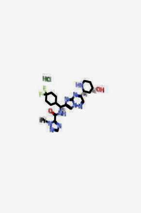 CC(C)n1ncnc1C(=O)N[C@H](c1cn2ncc([C@H]3C[C@@H](O)CCN3)nc2n1)C1CCC(F)(F)CC1.Cl